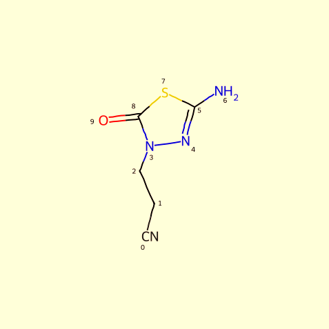 N#CCCn1nc(N)sc1=O